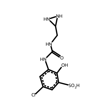 O=C(NCC1NN1)Nc1cc(Cl)cc(S(=O)(=O)O)c1O